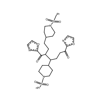 CCCS(=O)(=O)N1CCC(C(CCC(=O)c2ncco2)C(CCC2CCN(S(=O)(=O)C(C)C)CC2)C(=O)c2ncco2)CC1